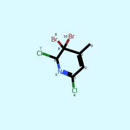 CC1=CC(Cl)=NC(Cl)C1(Br)Br